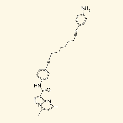 Cc1cc(C)n2ccc(C(=O)Nc3ccc(C#CCCCCCCC#Cc4ccc(N)cc4)cc3)c2n1